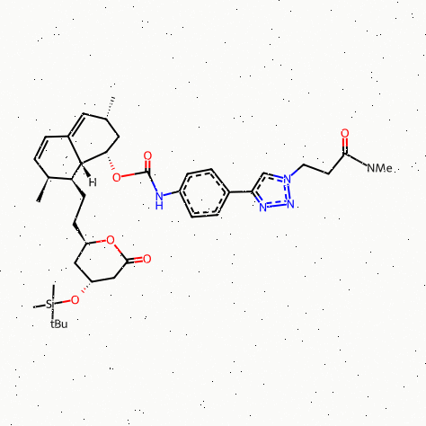 CNC(=O)CCn1cc(-c2ccc(NC(=O)O[C@H]3C[C@@H](C)C=C4C=C[C@H](C)[C@H](CC[C@@H]5C[C@@H](O[Si](C)(C)C(C)(C)C)CC(=O)O5)[C@H]43)cc2)nn1